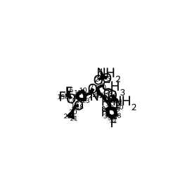 C[C@H](OC(N)=O)c1oc(-c2ccc(OC(F)F)c(OCC3CC3)c2)nc1C(=O)NC(C(N)=O)c1ccc(F)cc1F